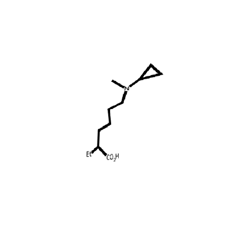 CCC(CCCCN(C)C1CC1)C(=O)O